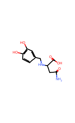 NC(=O)CC(NCc1ccc(O)c(O)c1)C(=O)O